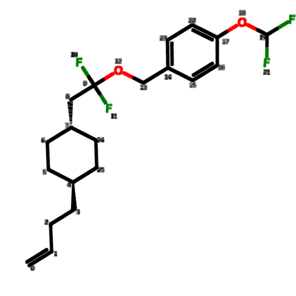 C=CCC[C@H]1CC[C@H](CC(F)(F)OCc2ccc(OC(F)F)cc2)CC1